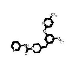 CCOc1cc(C=C2CCN(C(=O)Nc3cccnc3)CC2)cc(Oc2ccc(C(F)(F)F)cn2)c1